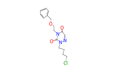 O=c1cnn(CCCCCl)c(=O)n1CCOCc1ccccc1